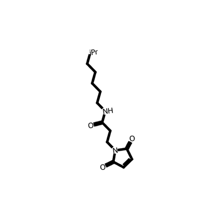 CC(C)CCCCCNC(=O)CCN1C(=O)C=CC1=O